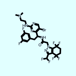 CN(C)CCNc1ncc(Br)c(C(Cc2cc(F)cc(F)c2)NC(=O)Cn2nc(C(F)F)c3c2C(F)(F)CCC3(F)F)n1